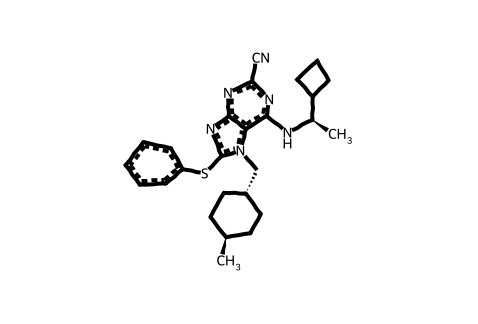 C[C@@H](Nc1nc(C#N)nc2nc(Sc3ccccc3)n(C[C@H]3CC[C@H](C)CC3)c12)C1CCC1